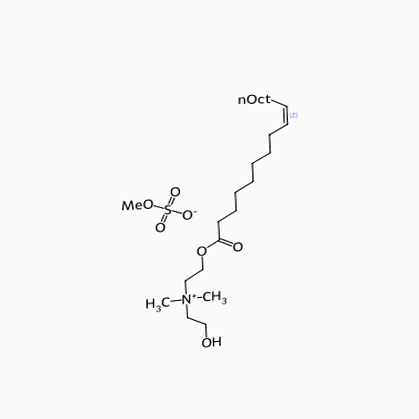 CCCCCCCC/C=C\CCCCCCCC(=O)OCC[N+](C)(C)CCO.COS(=O)(=O)[O-]